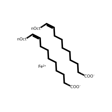 CCCCCCCC/C=C\CCCCCCCC(=O)[O-].CCCCCCCC/C=C\CCCCCCCC(=O)[O-].[Fe+2]